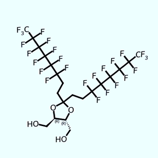 OC[C@H]1OC(CCC(F)(F)C(F)(F)C(F)(F)C(F)(F)C(F)(F)C(F)(F)F)(CCC(F)(F)C(F)(F)C(F)(F)C(F)(F)C(F)(F)C(F)(F)F)O[C@@H]1CO